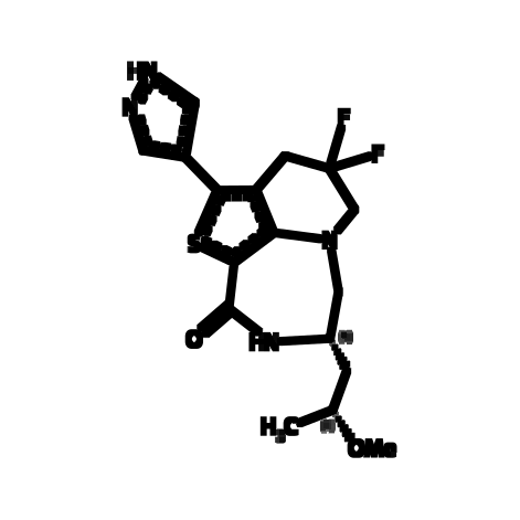 CO[C@H](C)C[C@H]1CN2CC(F)(F)Cc3c(-c4cn[nH]c4)sc(c32)C(=O)N1